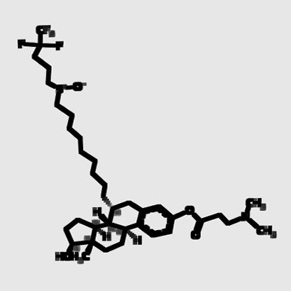 CN(C)CCC(=O)Oc1ccc2c(c1)C[C@@H](CCCCCCCCC[S+]([O-])CCCC(F)(F)C(F)(F)F)[C@@H]1[C@@H]2CC[C@]2(C)[C@@H](O)CC[C@@H]12